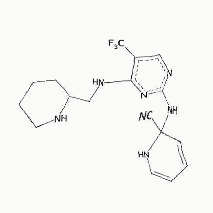 N#CC1(Nc2ncc(C(F)(F)F)c(NCC3CCCCN3)n2)C=CC=CN1